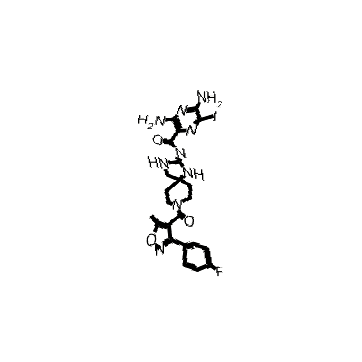 Cc1onc(-c2ccc(F)cc2)c1C(=O)N1CCC2(CC1)CN/C(=N\C(=O)c1nc(I)c(N)nc1N)N2